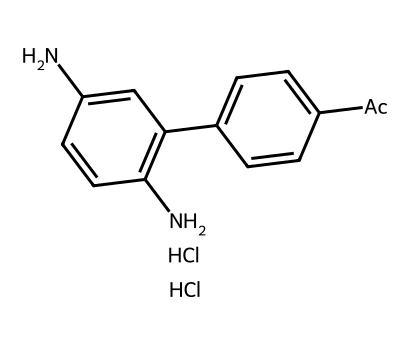 CC(=O)c1ccc(-c2cc(N)ccc2N)cc1.Cl.Cl